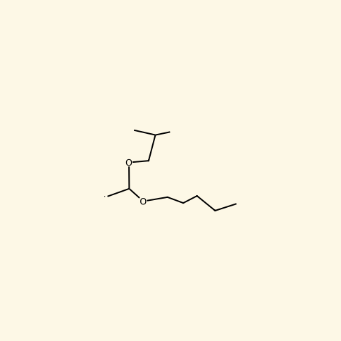 [CH2]C(OCCCCC)OCC(C)C